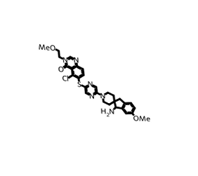 COCCn1cnc2ccc(Sc3cnc(N4CCC5(CC4)Cc4ccc(OC)cc4C5N)cn3)c(Cl)c2c1=O